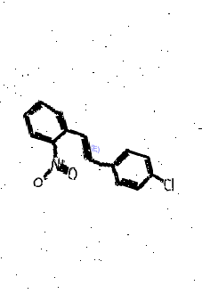 O=[N+]([O-])c1ccccc1/C=C/c1ccc(Cl)cc1